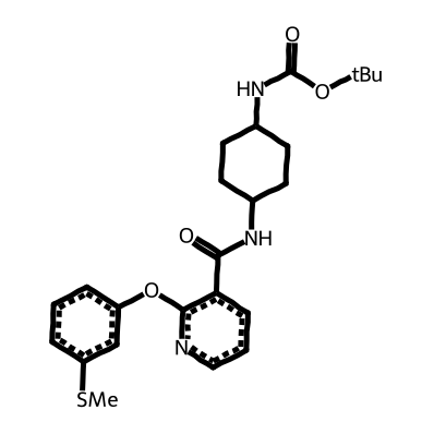 CSc1cccc(Oc2ncccc2C(=O)NC2CCC(NC(=O)OC(C)(C)C)CC2)c1